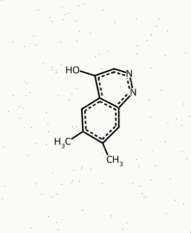 Cc1cc2nncc(O)c2cc1C